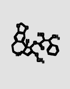 COC1=C[C@]23CCCN2CCc2cc4c(cc2[C@@H]3C1OC(=O)C(O)C(C)c1ccccc1)OCO4